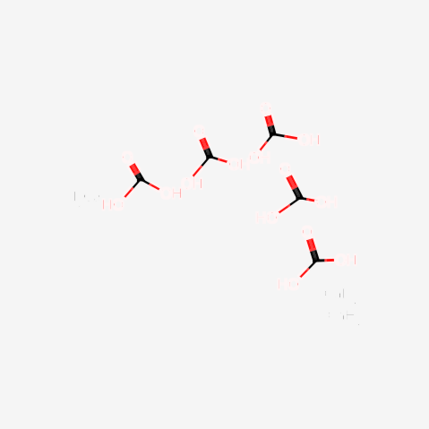 O=C(O)O.O=C(O)O.O=C(O)O.O=C(O)O.O=C(O)O.[CaH2].[CaH2].[CaH2]